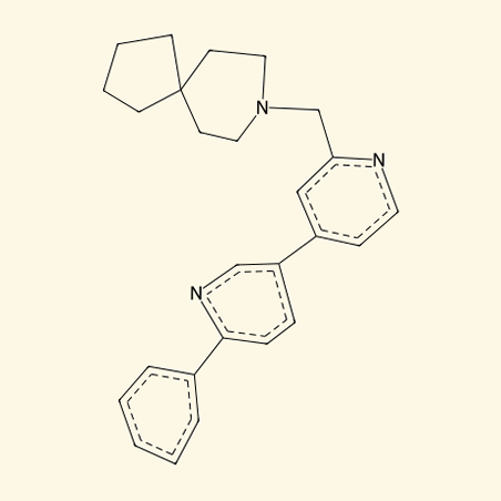 c1ccc(-c2ccc(-c3ccnc(CN4CCC5(CCCC5)CC4)c3)cn2)cc1